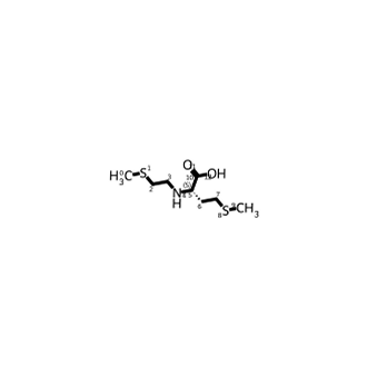 CSCCN[C@@H](CCSC)C(=O)O